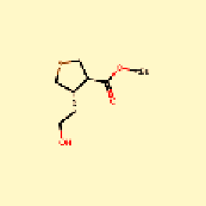 CC(C)(C)OC(=O)[C@@H]1CSC[C@H]1CCO